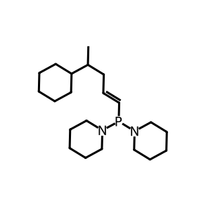 CC(CC=CP(N1CCCCC1)N1CCCCC1)C1CCCCC1